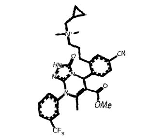 COC(=O)C1=C(C)N(c2cccc(C(F)(F)F)c2)c2n[nH]c(=O)n2C1c1ccc(C#N)cc1CCC[N+](C)(C)CC1CC1